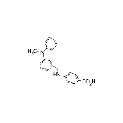 CN(c1ccccc1)c1cccc(CNc2ccc(C(=O)O)cc2)c1